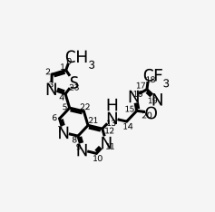 Cc1cnc(-c2cnc3ncnc(NCc4nc(C(F)(F)F)no4)c3c2)s1